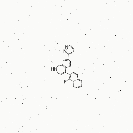 Fc1c(C2=CCNCc3cc(-c4cccnn4)ccc32)ccc2ccccc12